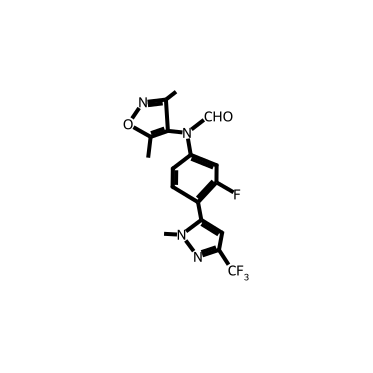 Cc1noc(C)c1N(C=O)c1ccc(-c2cc(C(F)(F)F)nn2C)c(F)c1